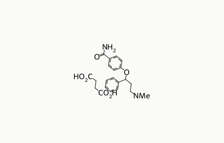 CNCCC(Oc1ccc(C(N)=O)cc1)c1ccccc1.O=C(O)CCC(=O)O